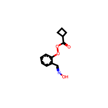 O=C(OOc1ccccc1C=NO)C1CCC1